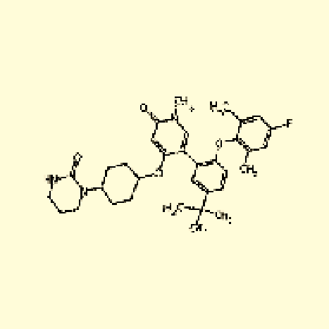 Cc1cc(F)cc(C)c1Oc1ccc(C(C)(C)O)cc1-c1cn(C)c(=O)cc1OC1CCC(N2CCCNC2=O)CC1